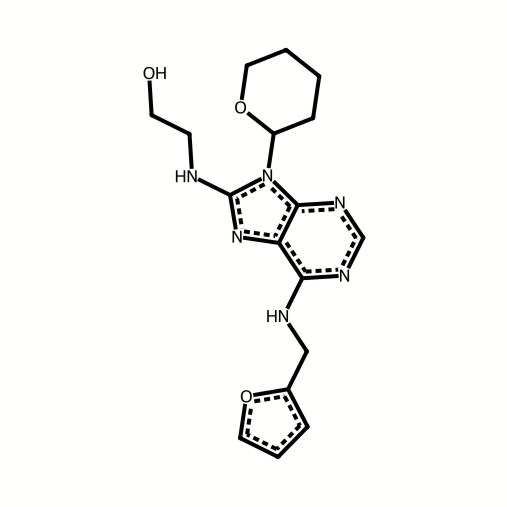 OCCNc1nc2c(NCc3ccco3)ncnc2n1C1CCCCO1